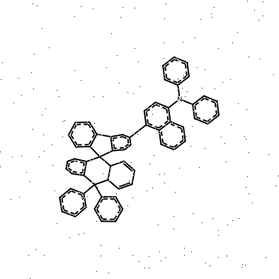 C1=CC2C(C=C1)C1(c3ccccc3-c3cc(-c4ccc(N(c5ccccc5)c5ccccc5)c5ccccc45)ccc31)c1ccccc1C2(c1ccccc1)c1ccccc1